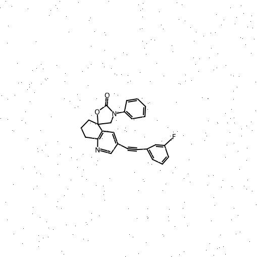 O=C1OC2(CCCc3ncc(C#Cc4cccc(F)c4)cc32)CN1c1ccccc1